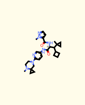 CN1CCN(c2ccc(NC(=O)[C@@H](NC(=O)c3ccnn3C)C(C3CCC3)C3(C)CC3)cn2)CC12CC2